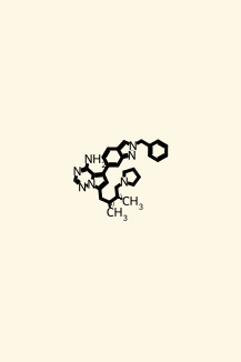 C[C@H](CN1CCCC1)[C@@H](C)Cc1cc(-c2ccc3cn(Cc4ccccc4)nc3c2)c2c(N)ncnn12